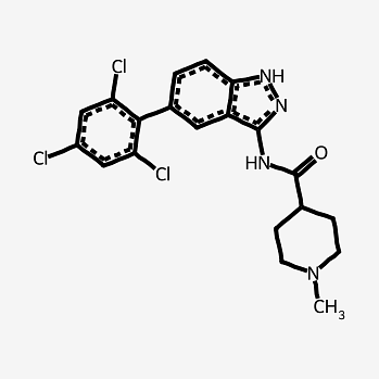 CN1CCC(C(=O)Nc2n[nH]c3ccc(-c4c(Cl)cc(Cl)cc4Cl)cc23)CC1